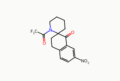 O=C(N1CCCCC12CCc1ccc([N+](=O)[O-])cc1C2=O)C(F)(F)F